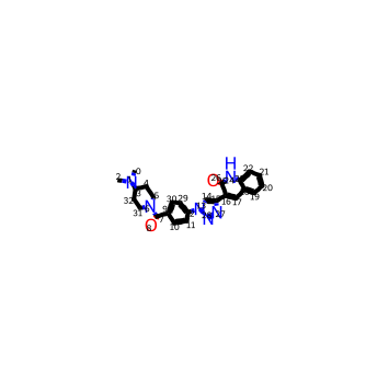 CN(C)C1CCN(C(=O)c2ccc(-n3cc(-c4cc5ccccc5[nH]c4=O)nn3)cc2)CC1